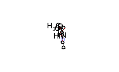 CS(=O)(=O)Nc1ccccc1-c1ccc2[nH]c(/C=C/c3ccc(-c4ccccc4)cc3)nc2c1